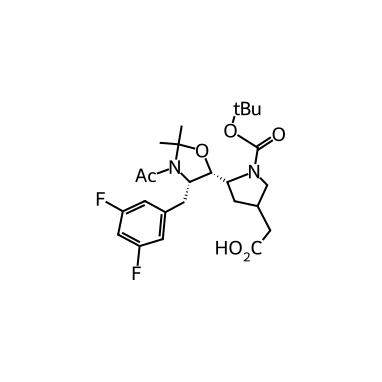 CC(=O)N1[C@@H](Cc2cc(F)cc(F)c2)[C@@H](C2CC(CC(=O)O)CN2C(=O)OC(C)(C)C)OC1(C)C